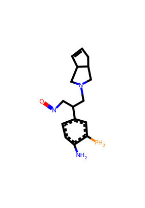 Nc1ccc(C(CN=O)CN2CC3C=CCC3C2)cc1P